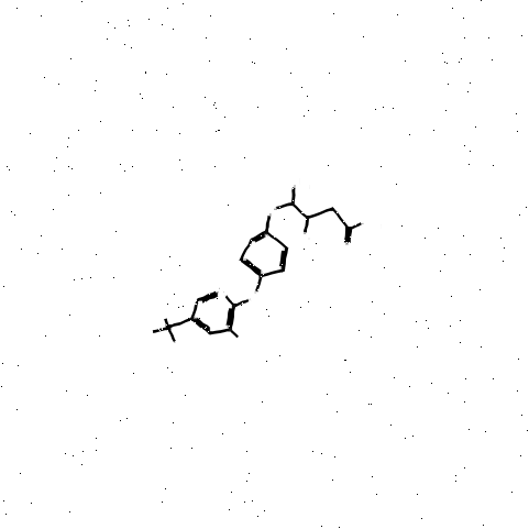 CC(=O)CC(O)C(C)Oc1ccc(Oc2ncc(C(F)(F)F)cc2Cl)cc1